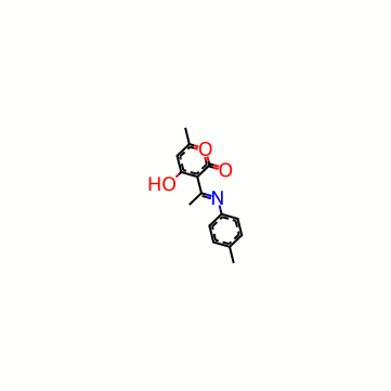 CC(=Nc1ccc(C)cc1)c1c(O)cc(C)oc1=O